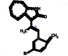 C=C1C=CC(Br)=CN1/C=C(\C)c1c2cccccc-2[nH]c1=O